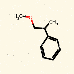 COC[C](C)c1ccccc1